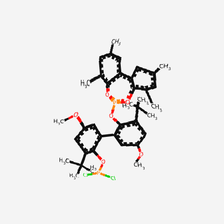 COc1cc(-c2cc(OC)cc(C(C)(C)C)c2Op2oc3c(C)cc(C)cc3c3cc(C)cc(C)c3o2)c(OP(Cl)Cl)c(C(C)(C)C)c1